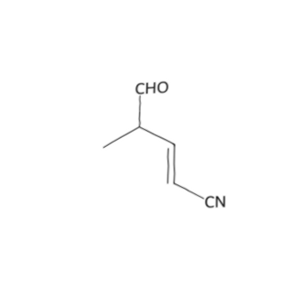 CC(C=O)C=CC#N